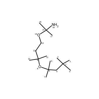 CC(C)(C)CC(C)(C)OC(C)(C)CCOC(C)(C)N